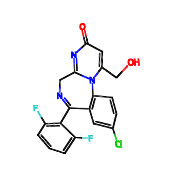 O=c1cc(CO)n2c(n1)CN=C(c1c(F)cccc1F)c1cc(Cl)ccc1-2